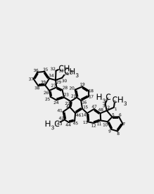 CCC1(CC)c2ccccc2-c2ccc(-c3c4ccccc4c(-c4ccc5c(c4)C(CC)(CC)c4ccccc4-5)c4cc(C)ccc34)cc21